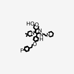 Cc1nc(NCCN2CCCCC2)c(-c2ccc(OCCc3ccc(F)cc3)cc2)c(N2CCC(C)(C)CC2)c1CC(=O)O